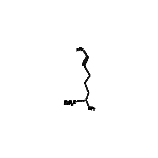 CCCC=CCCCC(CCC)C(=O)OCC